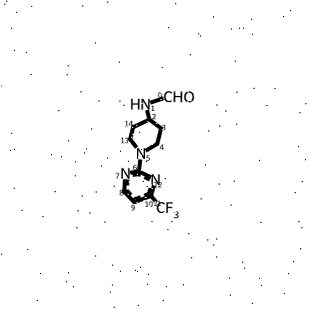 O=CNC1CCN(c2nccc(C(F)(F)F)n2)CC1